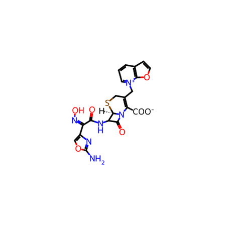 Nc1nc(/C(=N/O)C(=O)NC2C(=O)N3C(C(=O)[O-])=C(C[n+]4cccc5ccoc54)CS[C@H]23)co1